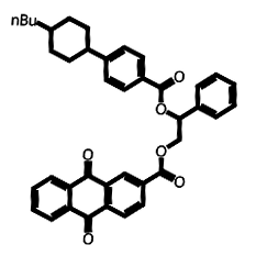 CCCCC1CCC(c2ccc(C(=O)OC(COC(=O)c3ccc4c(c3)C(=O)c3ccccc3C4=O)c3ccccc3)cc2)CC1